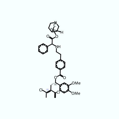 C=C(Cl)/C(C[C@H](OC(=O)c1ccc(CCNC(C(=O)O[C@H]2CN3CCC2CC3)c2ccccc2)cc1)c1ccc(OC)c(OC)c1)=C(\C)Cl